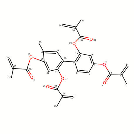 C=C(C)C(=O)Oc1ccc(-c2cc(C)c(OC(=O)C(=C)C)cc2OC(=O)C(=C)C)c(OC(=O)C(=C)C)c1